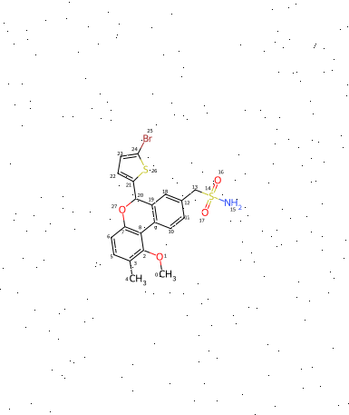 COc1c(C)ccc2c1-c1ccc(CS(N)(=O)=O)cc1C(c1ccc(Br)s1)O2